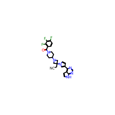 N#CCC1(n2ccc(-c3ncnc4[nH]ccc34)c2)CN(C2CCN(C(=O)c3ccc(F)c(F)c3F)CC2)C1